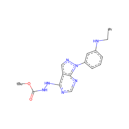 CC(C)CNc1cccc(-n2ncc3c(NNC(=O)OC(C)(C)C)ncnc32)c1